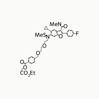 CCOC(=O)COC(=O)c1ccc(COCCOCCN(SC)c2cc3oc(-c4ccc(F)cc4)c(C(=O)NC)c3cc2C2CC2)cc1